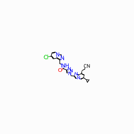 N#CCCc1cc(C2CC2)cn2cc(Cn3cc(C(=O)NCc4ncn5ccc(Cl)cc45)nn3)nc12